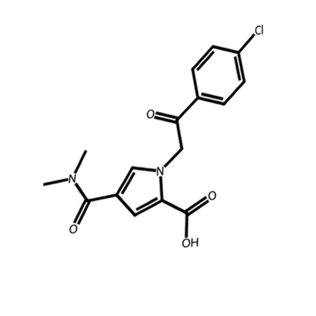 CN(C)C(=O)c1cc(C(=O)O)n(CC(=O)c2ccc(Cl)cc2)c1